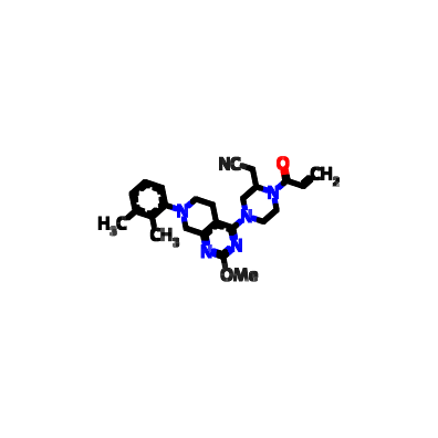 C=CC(=O)N1CCN(c2nc(OC)nc3c2CCN(c2cccc(C)c2C)C3)CC1CC#N